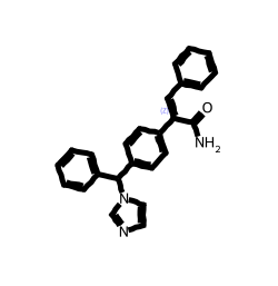 NC(=O)/C(=C\c1ccccc1)c1ccc(C(c2ccccc2)n2ccnc2)cc1